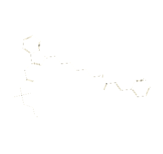 CC(C)(CCO)OC(=O)Cc1cn(CCCCCCNC(=O)/C=C/c2cccnc2)c2ccccc12